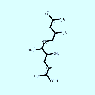 CC(CNC(C(=O)O)C(C)CNC(C)C(=O)O)CC(N)C(=O)O